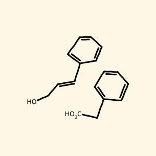 O=C(O)Cc1ccccc1.OCC=Cc1ccccc1